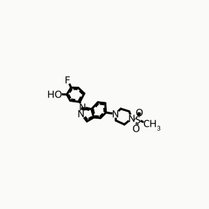 CS(=O)(=O)N1CCN(c2ccc3c(cnn3-c3ccc(F)c(O)c3)c2)CC1